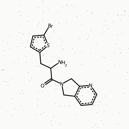 NC(Cc1ccc(Br)s1)C(=O)N1Cc2cccnc2C1